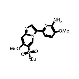 COc1cc2ncc(-c3ccc(OC)c(N)n3)n2cc1S(=O)(=O)C(C)(C)C